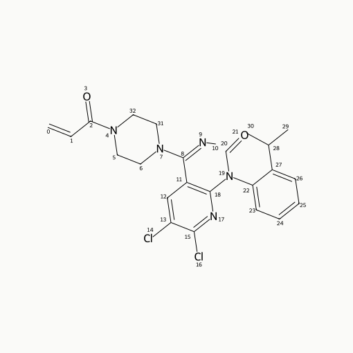 C=CC(=O)N1CCN(/C(=N/C)c2cc(Cl)c(Cl)nc2N(C=O)c2ccccc2C(C)C)CC1